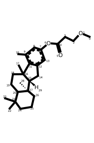 COCCC(=O)Oc1cc(C)c2c(c1)C[C@H]1C2(C)CCC2C(C)(C)CCC[C@@]21C